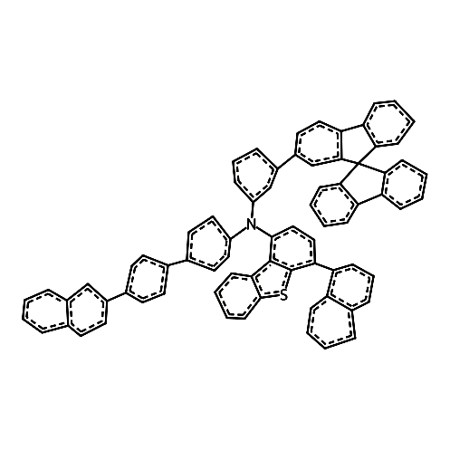 c1cc(-c2ccc3c(c2)C2(c4ccccc4-c4ccccc42)c2ccccc2-3)cc(N(c2ccc(-c3ccc(-c4ccc5ccccc5c4)cc3)cc2)c2ccc(-c3cccc4ccccc34)c3sc4ccccc4c23)c1